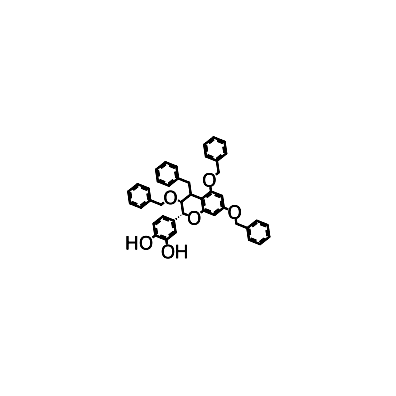 Oc1ccc([C@H]2Oc3cc(OCc4ccccc4)cc(OCc4ccccc4)c3C(Cc3ccccc3)[C@H]2OCc2ccccc2)cc1O